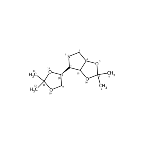 CC1(C)OC2CSC([C@H]3COC(C)(C)O3)C2O1